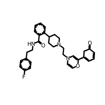 O=C1C=CC=C(C2=CN(CCN3CCC(c4ccccc4C(=O)NCCc4ccc(F)cc4)CC3)C=CO2)C1